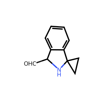 O=CC1NC2(CC2)c2ccccc21